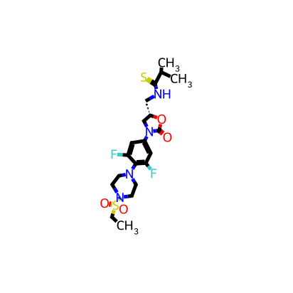 CCS(=O)(=O)N1CCN(c2c(F)cc(N3C[C@H](CNC(=S)C(C)C)OC3=O)cc2F)CC1